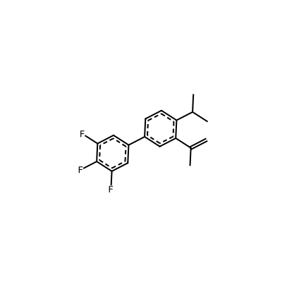 C=C(C)c1cc(-c2cc(F)c(F)c(F)c2)ccc1C(C)C